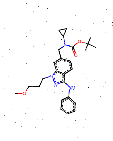 COCCCn1nc(Nc2ccccc2)c2ccc(CN(C(=O)OC(C)(C)C)C3CC3)cc21